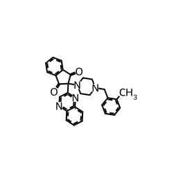 Cc1ccccc1CN1CCN(C2(c3cnc4ccccc4n3)C(=O)c3ccccc3C2=O)CC1